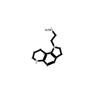 CC(=O)NCCN1CCc2ccc3c(c21)CCCO3